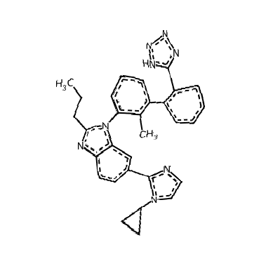 CCCc1nc2ccc(-c3nccn3C3CC3)cc2n1-c1cccc(-c2ccccc2-c2nnn[nH]2)c1C